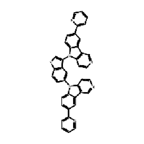 c1ccc(-c2ccc3c(c2)c2cnccc2n3-c2ccc3scc(-n4c5ccncc5c5cc(-c6ccccn6)ccc54)c3c2)nc1